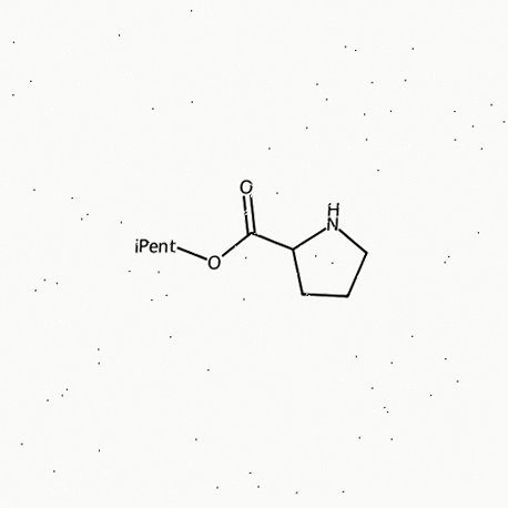 CCCC(C)OC(=O)C1CCCN1